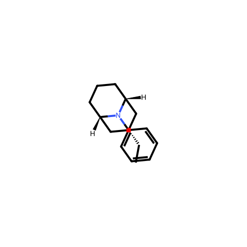 CC[C@H]1C[C@H]2CCC[C@@H](C1)N2c1ccccc1